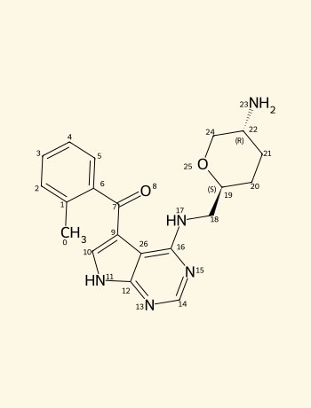 Cc1ccccc1C(=O)c1c[nH]c2ncnc(NC[C@@H]3CC[C@@H](N)CO3)c12